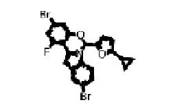 Fc1cc(Br)cc2c1-c1cc3cc(Br)ccc3n1C(c1ccc(C3CC3)o1)O2